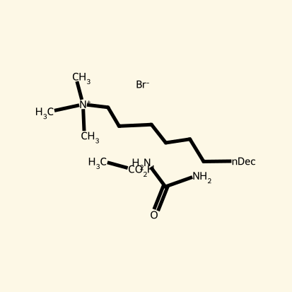 CC(=O)O.CCCCCCCCCCCCCCCC[N+](C)(C)C.NC(N)=O.[Br-]